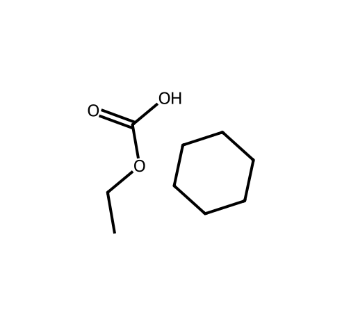 C1CCCCC1.CCOC(=O)O